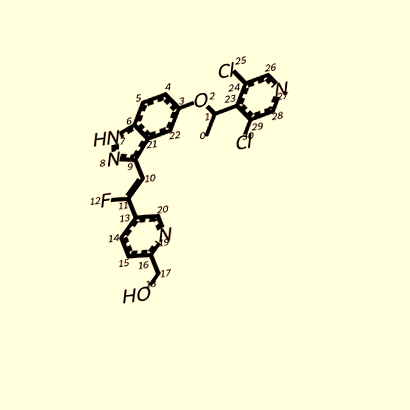 CC(Oc1ccc2[nH]nc(/C=C(\F)c3ccc(CO)nc3)c2c1)c1c(Cl)cncc1Cl